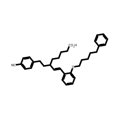 N#Cc1ccc(CCC(C=Cc2ccccc2OCCCCCc2ccccc2)CCCCC(=O)O)cc1